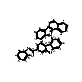 c1ccc2c(c1)ccc1c3ccccc3n(-c3cccc4oc5cc(-c6nc7ccccc7o6)ccc5c34)c21